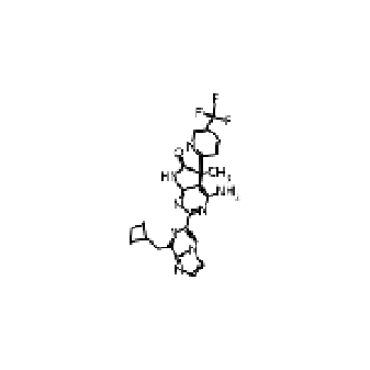 CC1(c2ccc(C(F)(F)F)cn2)C(=O)Nc2nc(-c3cn4ccnc4c(CC4CCC4)n3)nc(N)c21